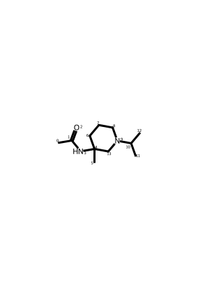 CC(=O)NC1(C)CCCN(C(C)C)C1